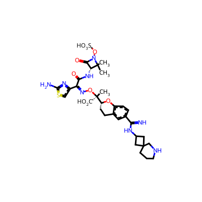 CC1(C)[C@H](NC(=O)/C(=N\O[C@](C)(C(=O)O)[C@H]2CCc3cc(C(=N)NC4CC5(CCCNC5)C4)ccc3O2)c2csc(N)n2)C(=O)N1OS(=O)(=O)O